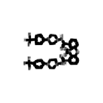 O=C(NN1CCN(c2ccc(C(F)(F)F)cc2)CC1)c1cccc2c1S(=O)(=O)c1c(cccc1C(=O)NN1CCN(c3ccc(C(F)(F)F)cc3)CC1)O2